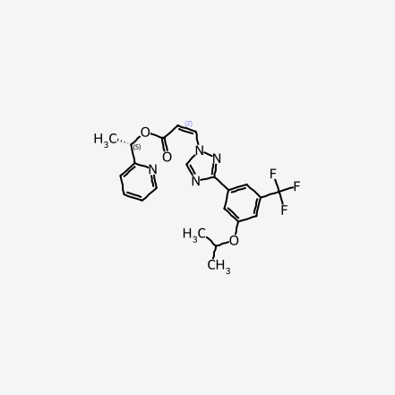 CC(C)Oc1cc(-c2ncn(/C=C\C(=O)O[C@@H](C)c3ccccn3)n2)cc(C(F)(F)F)c1